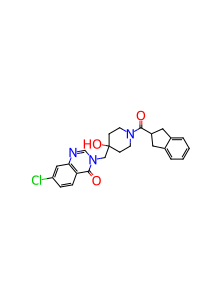 O=C(C1Cc2ccccc2C1)N1CCC(O)(Cn2cnc3cc(Cl)ccc3c2=O)CC1